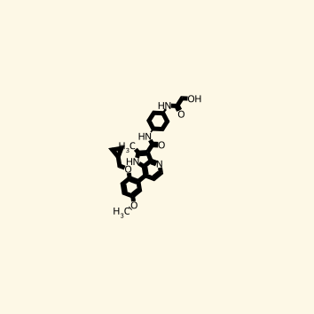 COc1ccc(OCC2CC2)c(-c2ccnc3c(C(=O)N[C@H]4CC[C@H](NC(=O)CO)CC4)c(C)[nH]c23)c1